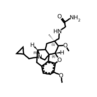 COc1ccc2c3c1O[C@H]1C(OC)[C@](C)(CNCC(N)=O)CC4[C@@H](C2)N(CC2CC2)CCC341